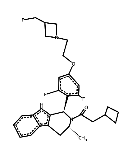 C[C@@H]1Cc2c([nH]c3ccccc23)[C@@H](c2c(F)cc(OCCN3CC(CF)C3)cc2F)N1C(=O)CC1CCC1